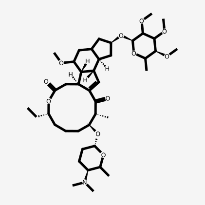 CC[C@H]1CCC[C@H](O[C@H]2CC[C@H](N(C)C)C(C)O2)[C@@H](C)C(=O)C2=C[C@@H]3[C@@H](C(OC)CC4C[C@@H](O[C@@H]5OC(C)[C@H](OC)C(OC)C5OC)C[C@H]43)[C@@H]2CC(=O)O1